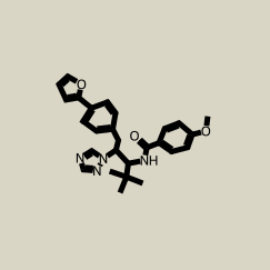 COc1ccc(C(=O)NC(C(Cc2ccc(-c3ccco3)cc2)n2cncn2)C(C)(C)C)cc1